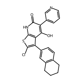 O=c1[nH]c2sc(Cl)c(-c3ccc4c(c3)CCCC4)c2c(O)c1-c1cccnc1